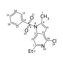 CCc1cc2c(cc(C)n2S(=O)(=O)c2ccccc2)c(Cl)n1